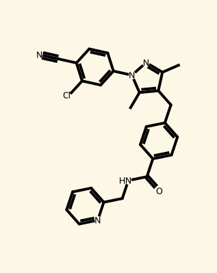 Cc1nn(-c2ccc(C#N)c(Cl)c2)c(C)c1Cc1ccc(C(=O)NCc2ccccn2)cc1